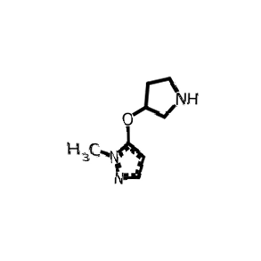 Cn1nccc1OC1CCNC1